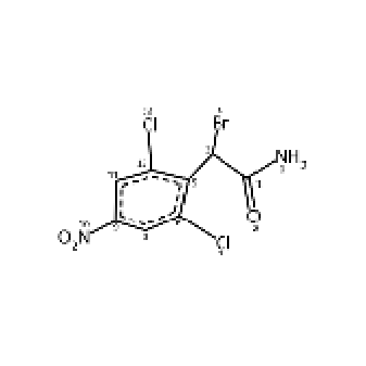 NC(=O)C(Br)c1c(Cl)cc([N+](=O)[O-])cc1Cl